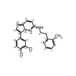 Cc1cccnc1CCNc1ccc2ncc(-c3ccc(Cl)c(Cl)c3)n2n1